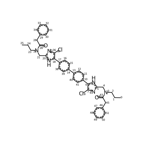 CCCN(Cc1nc(Cl)c(-c2ccc(-c3ccc(-c4[nH]c(CN(CCC)C(=O)Cc5ccccc5)nc4Cl)cc3)cc2)[nH]1)C(=O)Cc1ccccc1